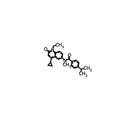 CCn1c(=O)cc(C2CC2)c2cc(N(C)C(=O)c3ccc(C(C)C)cc3)ccc21